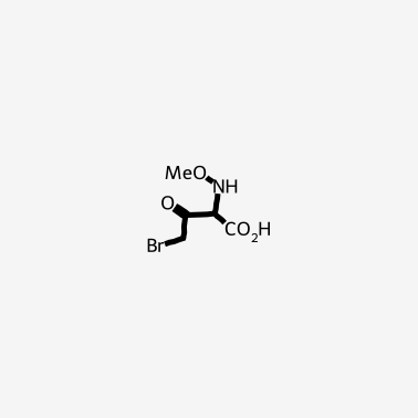 CONC(C(=O)O)C(=O)CBr